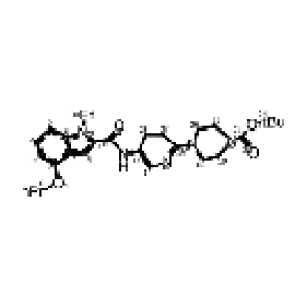 CCCOc1cccc2c1cc(C(=O)NC1=CN=C(N3CCN(C(=O)OC(C)(C)C)CC3)CC1)n2CC